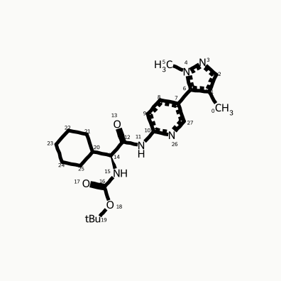 Cc1cnn(C)c1-c1ccc(NC(=O)[C@@H](NC(=O)OC(C)(C)C)C2CCCCC2)nc1